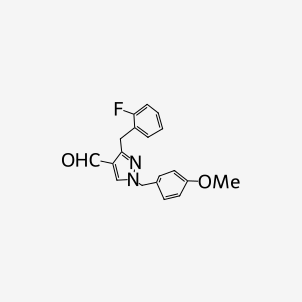 COc1ccc(Cn2cc(C=O)c(Cc3ccccc3F)n2)cc1